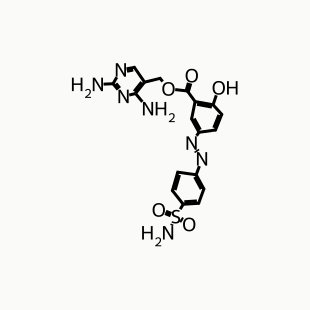 Nc1ncc(COC(=O)c2cc(/N=N/c3ccc(S(N)(=O)=O)cc3)ccc2O)c(N)n1